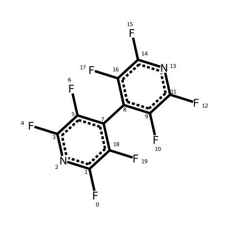 Fc1nc(F)c(F)c(-c2c(F)c(F)nc(F)c2F)c1F